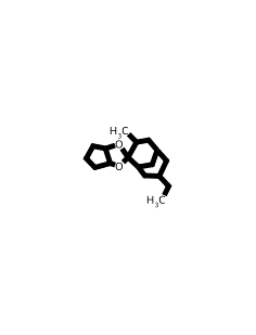 CCC1CC2CC(C)C3(OC4CCCC4O3)C(C1)C2